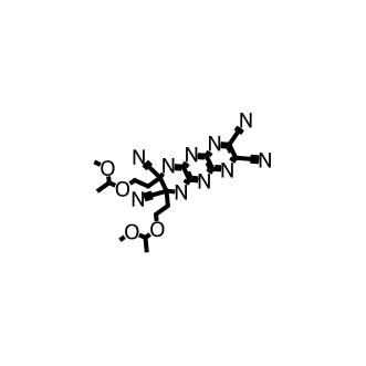 COC(C)OCCC1(C#N)N=c2nc3nc(C#N)c(C#N)nc3nc2=NC1(C#N)CCOC(C)OC